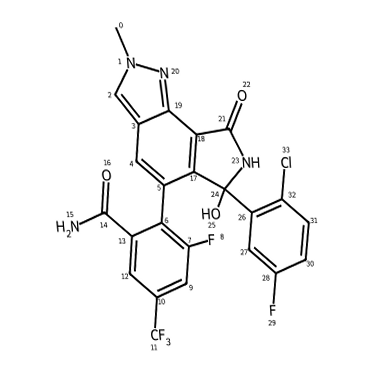 Cn1cc2cc(-c3c(F)cc(C(F)(F)F)cc3C(N)=O)c3c(c2n1)C(=O)NC3(O)c1cc(F)ccc1Cl